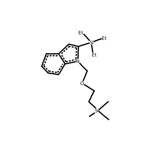 CC[Si](CC)(CC)c1cc2ccccc2n1COCC[Si](C)(C)C